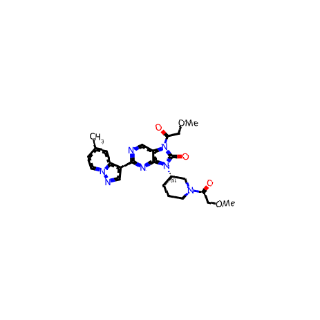 COCC(=O)N1CCC[C@H](n2c(=O)n(C(=O)COC)c3cnc(-c4cnn5ccc(C)cc45)nc32)C1